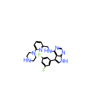 Fc1cc(F)cc(-c2c[nH]c3ncnc(NCc4cccc(N5CCNCC5)n4)c23)c1